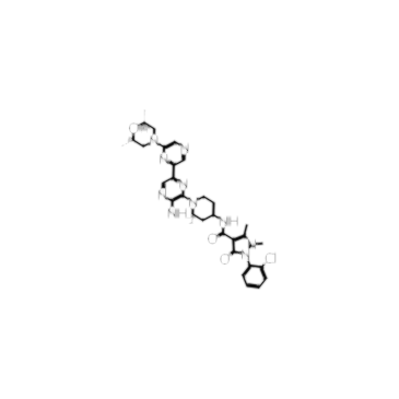 Cc1c(C(=O)NC2CCN(c3nc(-c4cncc(N5C[C@@H](C)O[C@@H](C)C5)n4)cnc3N)CC2)c(=O)n(-c2ccccc2Cl)n1C